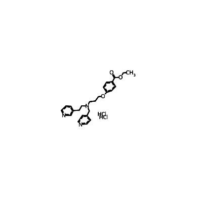 CCOC(=O)c1ccc(OCCCN(CCc2cccnc2)Cc2ccncc2)cc1.Cl.Cl